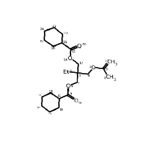 C=C(C)OCC(CC)(COC(=O)C1CCCCC1)COC(=O)C1CCCCC1